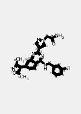 Cc1noc(C)c1-c1ccc2c(NCc3cccc(Cl)c3)nc(-c3cnn(CC(N)=O)c3)nc2c1